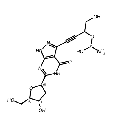 NP(O)OC(C#Cc1n[nH]c2nc([C@H]3C[C@H](O)[C@@H](CO)O3)[nH]c(=O)c12)CO